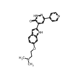 CN(C)CCOc1ccc2cc(-c3cc(-c4ccncc4)n[nH]c3=O)[nH]c2c1